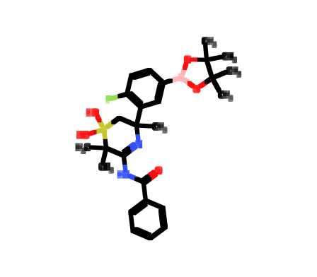 CC1(c2cc(B3OC(C)(C)C(C)(C)O3)ccc2F)CS(O)(O)C(C)(C)C(NC(=O)c2ccccc2)=N1